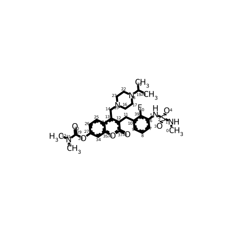 CNS(=O)(=O)Nc1cccc(Cc2c(CN3CCN(C(C)C)CC3)c3ccc(OC(=O)N(C)C)cc3oc2=O)c1F